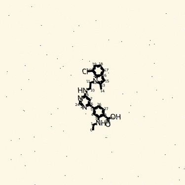 CCNc1cc(-c2cc(NCCn3c(C)cc4cccc(Cl)c43)ncn2)ccc1C(=O)O